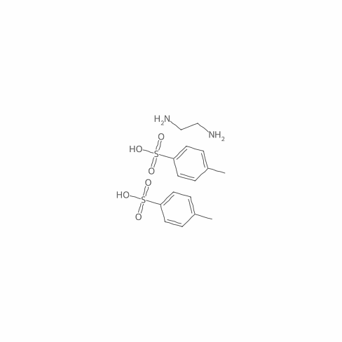 Cc1ccc(S(=O)(=O)O)cc1.Cc1ccc(S(=O)(=O)O)cc1.NCCN